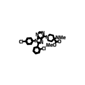 CNC1(C(=O)OC)CCN(c2ncnc3c2nc(-c2ccccc2Cl)n3-c2ccc(Cl)cc2)CC1